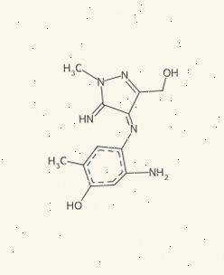 Cc1cc(N=C2C(=N)N(C)N=C2CO)c(N)cc1O